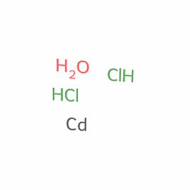 Cl.Cl.O.[Cd]